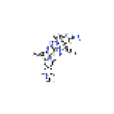 COc1nc2nc(C)nc(NC(C)c3cc(N)cc(C(F)(F)F)c3)c2cc1N1CCC2(CCN(C)CC2)CC1